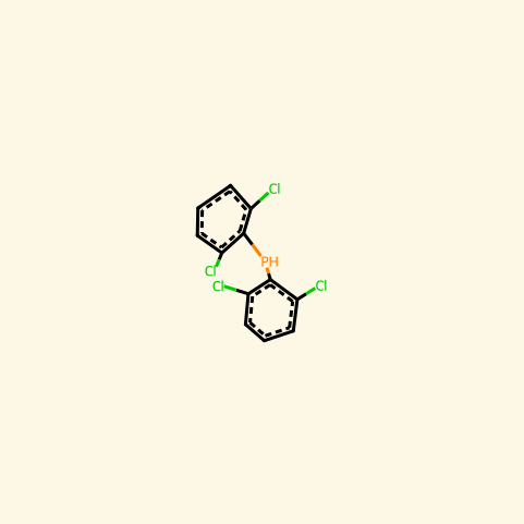 Clc1cccc(Cl)c1Pc1c(Cl)cccc1Cl